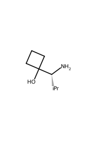 CC(C)[C@@H](N)C1(O)CCC1